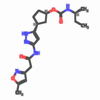 CC[C@H](C)NC(=O)O[C@@H]1CC[C@H](c2cc(NC(=O)Cc3cc(C)on3)n[nH]2)C1